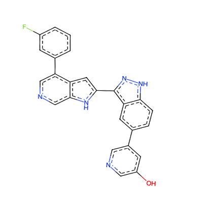 Oc1cncc(-c2ccc3[nH]nc(-c4cc5c(-c6cccc(F)c6)cncc5[nH]4)c3c2)c1